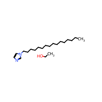 CCCCCCCCCCCCCCCCn1ccnc1.CCO